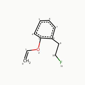 C=COc1ccccc1CCF